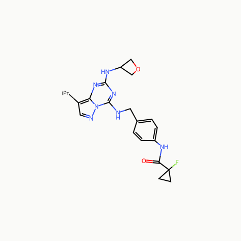 CC(C)c1cnn2c(NCc3ccc(NC(=O)C4(F)CC4)cc3)nc(NC3COC3)nc12